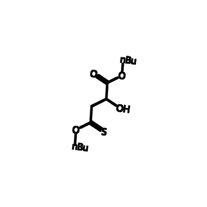 CCCCOC(=O)C(O)CC(=S)OCCCC